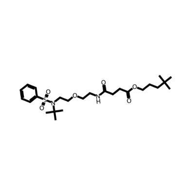 CC(C)(C)CCCOC(=O)CCC(=O)NCCOCCN(C(C)(C)C)S(=O)(=O)c1ccccc1